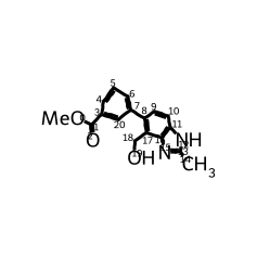 COC(=O)c1cccc(-c2ccc3[nH]c(C)nc3c2CO)c1